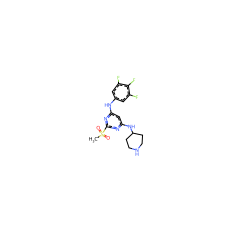 CS(=O)(=O)c1nc(Nc2cc(F)c(F)c(F)c2)cc(NC2CCNCC2)n1